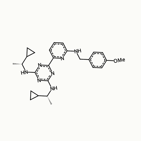 COc1ccc(CNc2cccc(-c3nc(N[C@H](C)C4CC4)nc(N[C@H](C)C4CC4)n3)n2)cc1